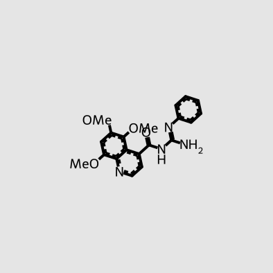 COc1cc(OC)c2nccc(C(=O)NC(N)=Nc3ccccc3)c2c1OC